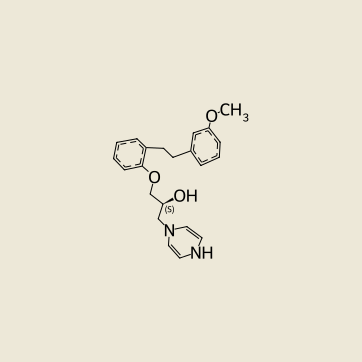 COc1cccc(CCc2ccccc2OC[C@@H](O)CN2C=CNC=C2)c1